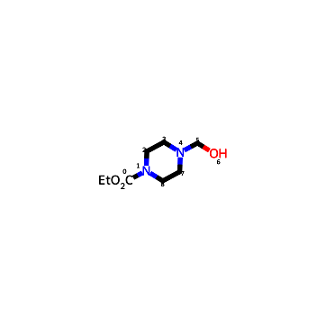 CCOC(=O)N1CCN(CO)CC1